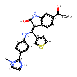 COC(=O)c1ccc2c(c1)NC(=O)/C2=C(\Nc1ccc(-c2nccn2C)cc1)c1ccsc1